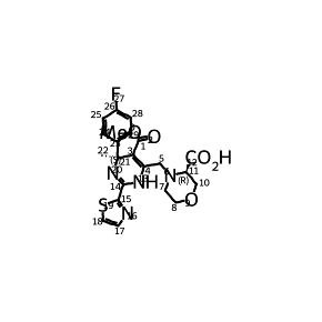 COC(=O)C1=C(CN2CCOC[C@@H]2C(=O)O)NC(c2nccs2)=N[C@@]1(C)c1ccc(F)cc1